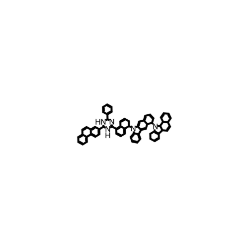 C1=CC2C=CC3C4=C(CCC=C4)N(C4C=CC=C5C=c6c(c7ccccc7n6C6CC=Cc7c(C8=NC(c9ccccc9)NC(c9ccc%10c(ccc%11ccccc%11%10)c9)N8)cccc76)=CC54)C3C2C=C1